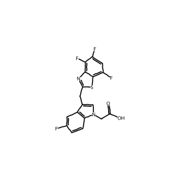 O=C(O)Cn1cc(Cc2nc3c(F)c(F)cc(F)c3s2)c2cc(F)ccc21